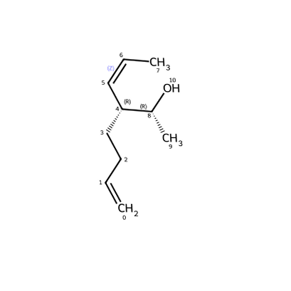 C=CCC[C@H](/C=C\C)[C@@H](C)O